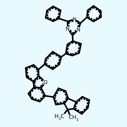 CC1(C)c2ccccc2-c2ccc(-c3cccc4c3oc3c(-c5ccc(-c6cccc(-c7nc(-c8ccccc8)nc(-c8ccccc8)n7)c6)cc5)cccc34)cc21